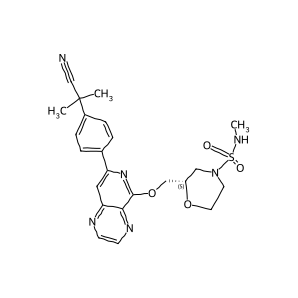 CNS(=O)(=O)N1CCO[C@H](COc2nc(-c3ccc(C(C)(C)C#N)cc3)cc3nccnc23)C1